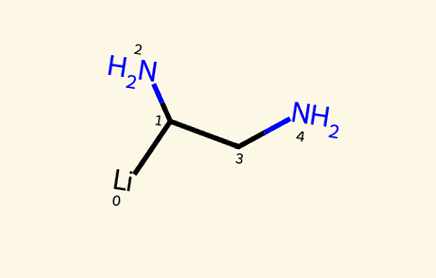 [Li][CH](N)CN